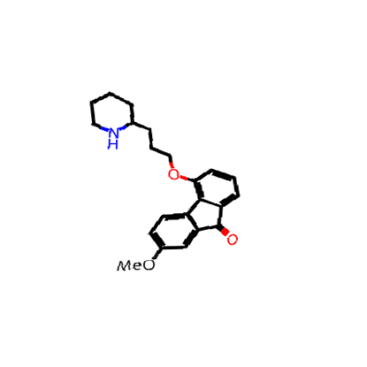 COc1ccc2c(c1)C(=O)c1cccc(OCCCC3CCCCN3)c1-2